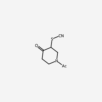 CC(=O)N1CCC(=O)C(SC#N)C1